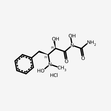 CN(O)[C@@H](Cc1ccccc1)[C@@H](O)C(=O)N(O)C(N)=O.Cl